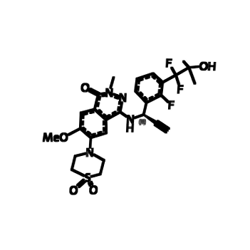 C#C[C@@H](Nc1nn(C)c(=O)c2cc(OC)c(N3CCS(=O)(=O)CC3)cc12)c1cccc(C(F)(F)C(C)(C)O)c1F